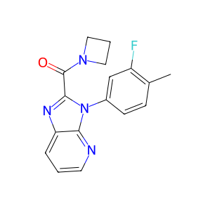 Cc1ccc(-n2c(C(=O)N3CCC3)nc3cccnc32)cc1F